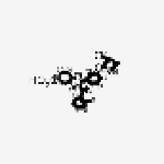 Cc1ccccc1-c1nc2ccc(Oc3ncccc3Cl)cc2c(=O)n1C[C@H]1CCCN(C(=O)O)C1